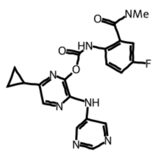 CNC(=O)c1cc(F)ccc1NC(=O)Oc1nc(C2CC2)cnc1Nc1cncnc1